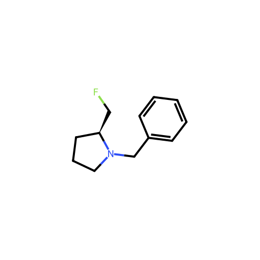 FC[C@@H]1CCCN1Cc1ccccc1